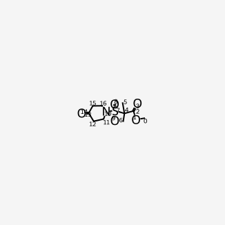 COC(=O)C(C)(C)S(=O)(=O)N1CCC(=O)CC1